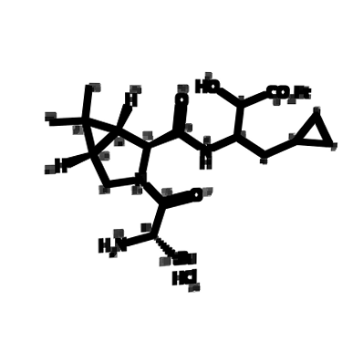 CCOC(=O)C(O)C(CC1CC1)NC(=O)[C@@H]1[C@@H]2[C@H](CN1C(=O)[C@@H](N)C(C)(C)C)C2(C)C.Cl